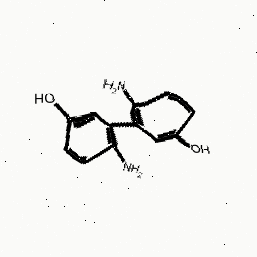 Nc1ccc(O)cc1-c1cc(O)ccc1N